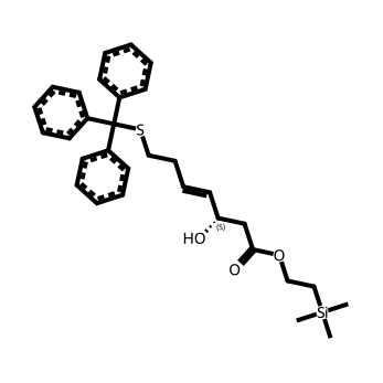 C[Si](C)(C)CCOC(=O)C[C@H](O)C=CCCSC(c1ccccc1)(c1ccccc1)c1ccccc1